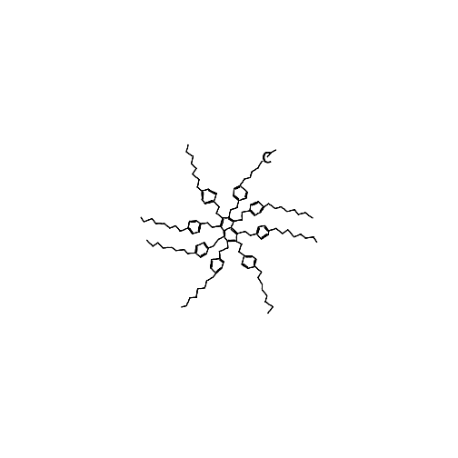 CCCCCCCCc1ccc(CCc2c(CCc3ccc(CCCCCCCC)cc3)c(CCc3ccc(CCCCCCCC)cc3)c3c(CCc4ccc(CCCCCCCC)cc4)c(CCc4ccc(CCCCCCCC)cc4)c(CCc4ccc(CCCCCCCC)cc4)c(CCc4ccc(CCCCCCCC)cc4)c3c2CCc2ccc(CCCCCCCC)cc2)cc1